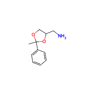 CC1(c2ccccc2)OCC(CN)O1